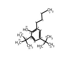 CCCCc1cc(C(C)(C)C)cc(C(C)(C)C)c1O